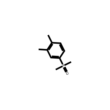 Cc1ccc(P(C)(C)=O)cc1C